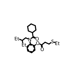 CCSCCC(=O)Oc1ccccc1N(CC(CC)CC)C(=O)C1CCCCC1